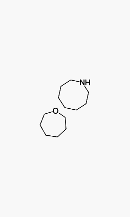 C1CCCNCCC1.C1CCCOCC1